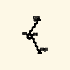 O=COC1(CCCCCCc2c(O)ccc(CCCCCCC3(C(=O)O)CC3)c2O)CC1